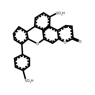 O=c1ccc2ccc(Oc3c(-c4ccc(S(=O)(=O)O)cc4)cccc3-c3ccc(S(=O)(=O)O)cc3)cc2o1